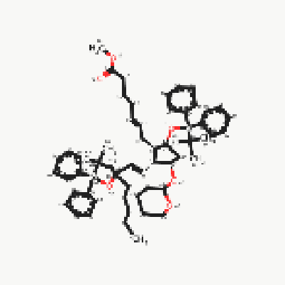 CCCCCC(C)(C=C[C@@H]1[C@@H](CC=CCCCC(=O)OC)[C@@H](O[Si](c2ccccc2)(c2ccccc2)C(C)(C)C)C[C@H]1OC1CCCCO1)O[Si](c1ccccc1)(c1ccccc1)C(C)(C)C